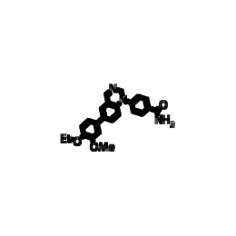 CCOc1ccc(-c2ccc3c(c2)C=NCN3c2ccc(C(N)=O)cc2)cc1OC